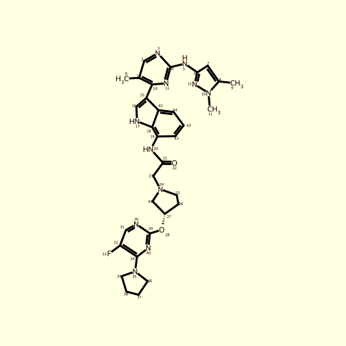 Cc1cnc(Nc2cc(C)n(C)n2)nc1-c1c[nH]c2c(NC(=O)CN3CC[C@H](Oc4ncc(F)c(N5CCCC5)n4)C3)cccc12